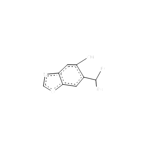 CCC(C)C(CC)c1cc2ocnc2cc1C